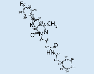 Cc1nn(CCCC(=O)NCCc2ccccc2)c(=O)c2nn(-c3ccc(F)cc3)cc12